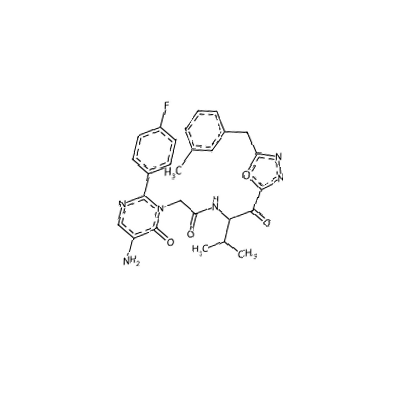 Cc1cccc(Cc2nnc(C(=O)C(NC(=O)Cn3c(-c4ccc(F)cc4)ncc(N)c3=O)C(C)C)o2)c1